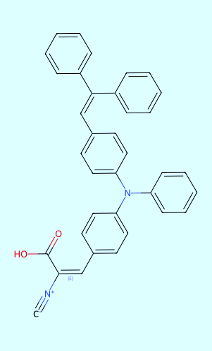 [C-]#[N+]/C(=C/c1ccc(N(c2ccccc2)c2ccc(C=C(c3ccccc3)c3ccccc3)cc2)cc1)C(=O)O